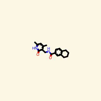 Cc1cc(C)c(CNC(=O)c2ccc3c(c2)CCCC3)c(=O)[nH]1